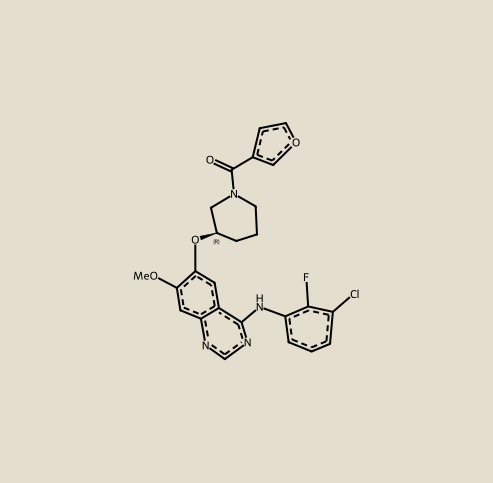 COc1cc2ncnc(Nc3cccc(Cl)c3F)c2cc1O[C@@H]1CCCN(C(=O)c2ccoc2)C1